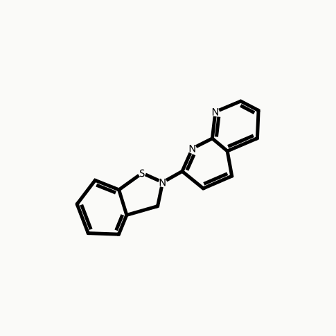 c1ccc2c(c1)CN(c1ccc3cccnc3n1)S2